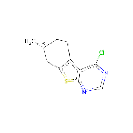 C[C@@H]1CCc2c(sc3ncnc(Cl)c23)C1